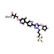 COC(=O)C(C)(C)COc1cc(C)c(-c2ccc(-c3nc(OC4CCCC4)n(CCCCS(C)(C)C)n3)nc2)cn1